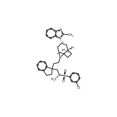 Cc1nc2ccccc2n1[C@@H]1C[C@@H]2CCC23[C@H](C1)N3CCC1(CN(C)S(=O)(=O)c2cccc(Cl)c2)CCc2ccccc21